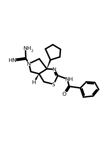 N=C(N)N1C[C@H]2CSC(NC(=O)c3ccccc3)=N[C@@]2(C2CCCC2)C1